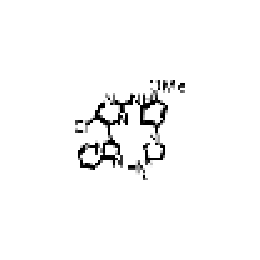 COc1ccc(N2CC[C@@H](N(C)C)C2)cc1Nc1ncc(Cl)c(-c2cnc3ccccn23)n1